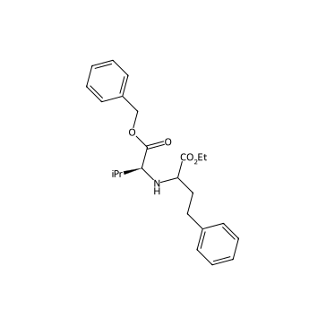 CCOC(=O)C(CCc1ccccc1)N[C@H](C(=O)OCc1ccccc1)C(C)C